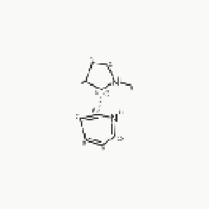 CN1CCC[C@H]1c1ccccn1